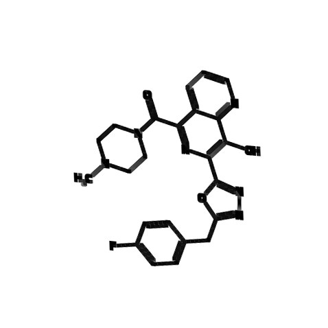 CN1CCN(C(=O)c2nc(-c3nnc(Cc4ccc(F)cc4)o3)c(O)c3ncccc23)CC1